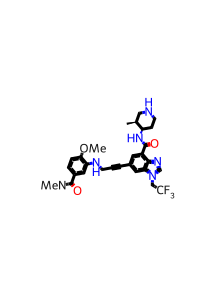 CNC(=O)c1ccc(OC)c(NCC#Cc2cc(C(=O)N[C@@H]3CCNC[C@@H]3C)c3ncn(CC(F)(F)F)c3c2)c1